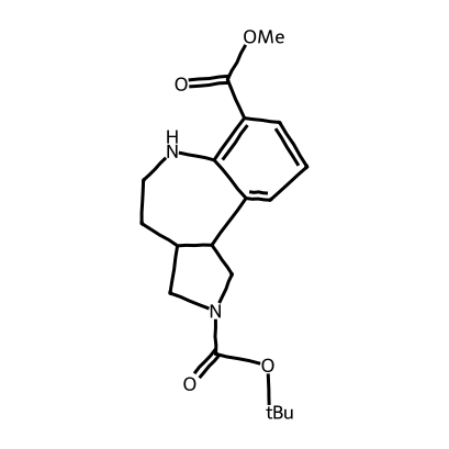 COC(=O)c1cccc2c1NCCC1CN(C(=O)OC(C)(C)C)CC21